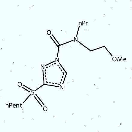 CCCCCS(=O)(=O)c1ncn(C(=O)N(CCC)CCOC)n1